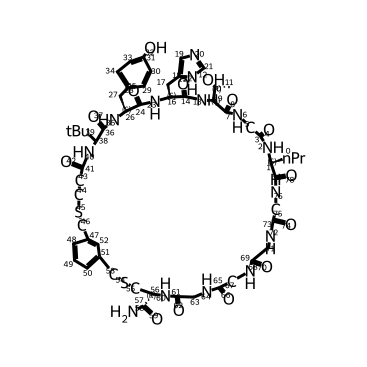 CCC[C@@H]1NC(=O)CNC(=O)[C@H]([C@@H](C)O)NC(=O)[C@H](Cc2cnc[nH]2)NC(=O)[C@H](Cc2ccc(O)cc2)NC(=O)C(C(C)(C)C)NC(=O)CCSCc2cccc(c2)CSC[C@@H](C(N)=O)NC(=O)CNC(=O)CNC(=O)CNC(=O)CNC1=O